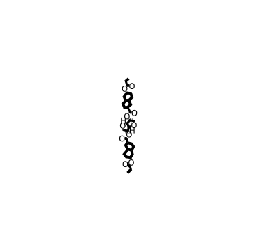 C=CC(=O)Oc1ccc2cc(C(=O)O[C@H]3CO[C@H]4[C@@H]3OC[C@H]4OC(=O)c3ccc4cc(OC(=O)C=C)ccc4c3)ccc2c1